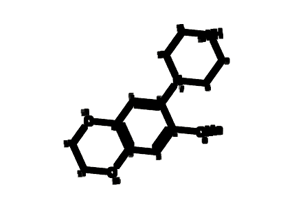 COc1cc2c(cc1N1CCNCC1)OCCO2